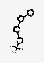 CCCC(C)(C)c1ccc(-c2ccc(-c3ccc(-c4cccs4)s3)s2)s1